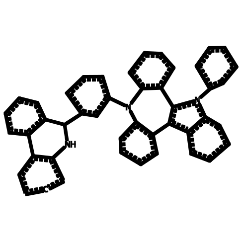 c1ccc(-n2c3c(c4ccccc42)-c2ccccc2N(c2cccc(C4Nc5ccccc5-c5ccccc54)c2)c2ccccc2-3)cc1